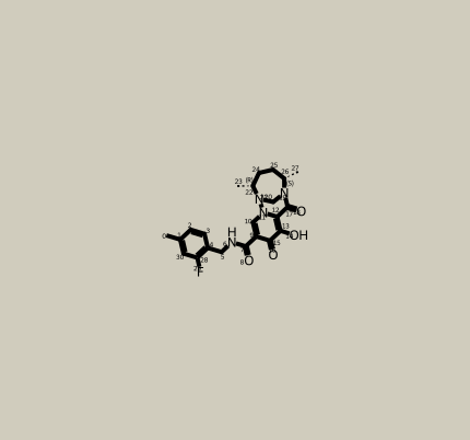 Cc1ccc(CNC(=O)c2cn3c(c(O)c2=O)C(=O)N2CN3[C@H](C)CC[C@@H]2C)c(F)c1